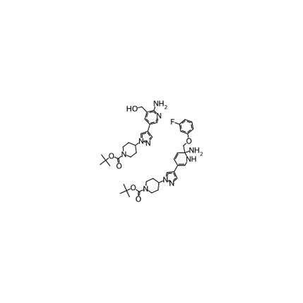 CC(C)(C)OC(=O)N1CCC(n2cc(-c3cnc(N)c(CO)c3)cn2)CC1.CC(C)(C)OC(=O)N1CCC(n2cc(C3=CNC(N)(COc4cccc(F)c4)C=C3)cn2)CC1